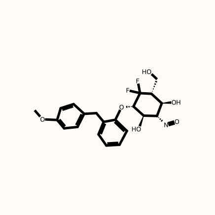 COc1ccc(Cc2ccccc2O[C@H]2[C@H](O)[C@@H](N=O)[C@H](O)[C@@H](CO)C2(F)F)cc1